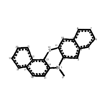 CN1c2cc3ccccc3cc2Sc2c1ccc1ccccc21